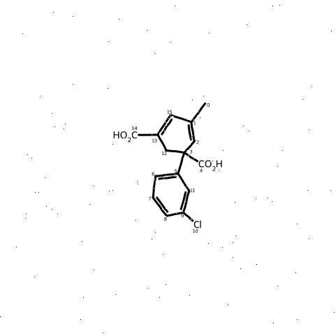 CC1=CC(C(=O)O)(c2cccc(Cl)c2)CC(C(=O)O)=C1